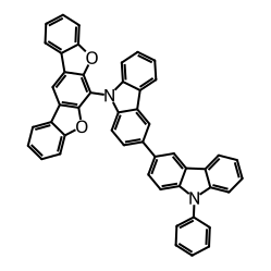 c1ccc(-n2c3ccccc3c3cc(-c4ccc5c(c4)c4ccccc4n5-c4c5oc6ccccc6c5cc5c4oc4ccccc45)ccc32)cc1